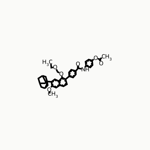 CCOCOc1c(-c2ccc(C(=O)Nc3ccc(OC(C)=O)cc3)cc2)ccc2cc(OC)c(C34CC5CC(CC(C5)C3)C4)cc12